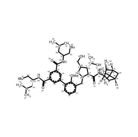 COc1c(CN2O[C@@H](CO)[C@H]([C@H](C)O)[C@H]2C(=O)N[C@H]2C[C@H]3C[C@@H]([C@@H]2C)C3(C)C)cccc1-c1cc(C(=O)NC(CN(C)C)CC(C)(C)C)cc(C(=O)N[C@H](CN(C)C)CC(C)(C)C)c1